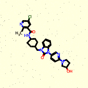 Cc1ncc(Cl)cc1C(=O)NC1CCC(Cn2c(=O)n(-c3ccc(N4CCC(O)C4)nc3)c3ccccc32)CC1